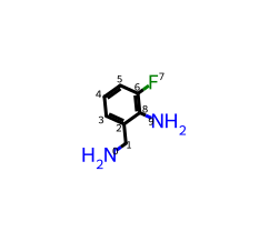 NCc1cccc(F)c1N